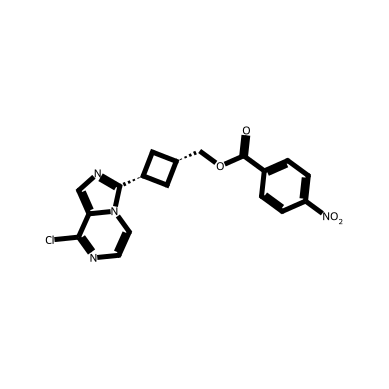 O=C(OC[C@H]1C[C@@H](c2ncc3c(Cl)nccn32)C1)c1ccc([N+](=O)[O-])cc1